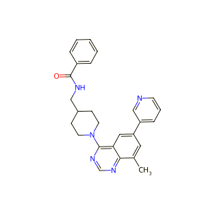 Cc1cc(-c2cccnc2)cc2c(N3CCC(CNC(=O)c4ccccc4)CC3)ncnc12